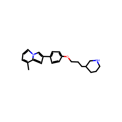 Cc1cccn2cc(-c3ccc(OCCCC4CCCNC4)cc3)cc12